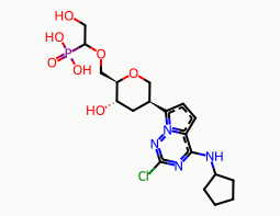 O=P(O)(O)C(CO)OC[C@H]1OC[C@@H](c2ccc3c(NC4CCCC4)nc(Cl)nn23)C[C@@H]1O